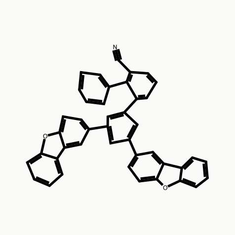 N#Cc1cccc(-c2cc(-c3ccc4oc5ccccc5c4c3)cc(-c3ccc4oc5ccccc5c4c3)c2)c1-c1ccccc1